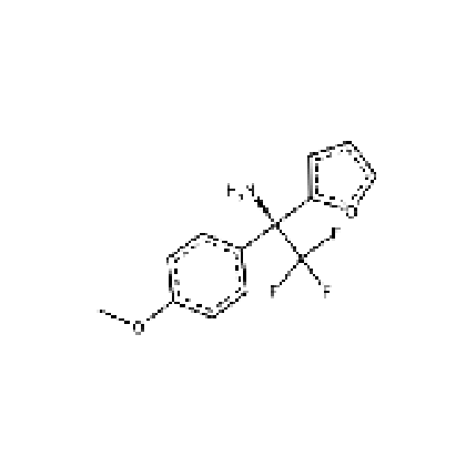 COc1ccc([C@](N)(c2ccco2)C(F)(F)F)cc1